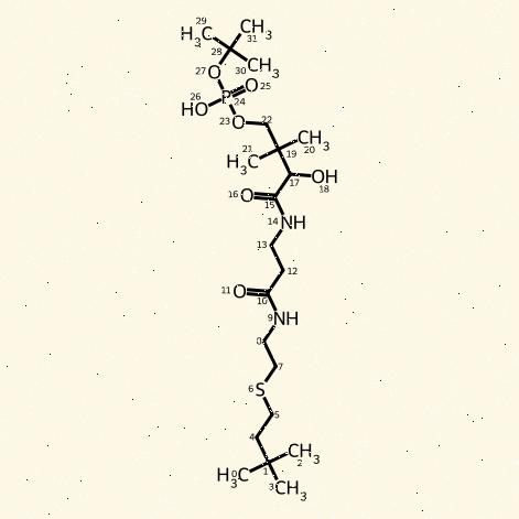 CC(C)(C)CCSCCNC(=O)CCNC(=O)C(O)C(C)(C)COP(=O)(O)OC(C)(C)C